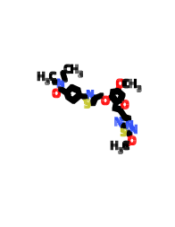 CCCN(CC)C(=O)c1ccc(-c2nc(COc3cc(OC)cc4oc(-c5cn6nc(OC)sc6n5)cc34)cs2)cc1